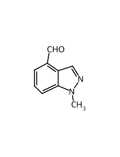 Cn1ncc2c(C=O)cccc21